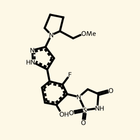 COCC1CCCN1c1cc(-c2ccc(O)c(N3CC(=O)NS3(=O)=O)c2F)[nH]n1